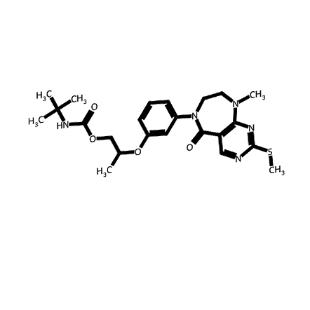 CSc1ncc2c(n1)N(C)CCN(c1cccc(OC(C)COC(=O)NC(C)(C)C)c1)C2=O